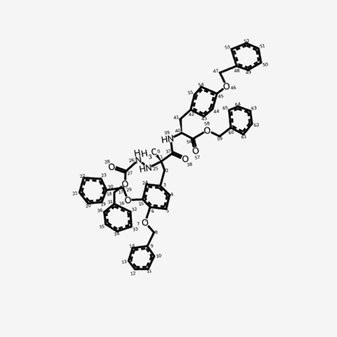 C[C@@](Cc1ccc(OCc2ccccc2)c(OCc2ccccc2)c1)(NNC(=O)OCc1ccccc1)C(=O)N[C@@H](Cc1ccc(OCc2ccccc2)cc1)C(=O)OCc1ccccc1